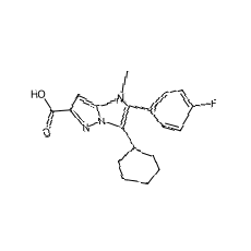 Cn1c(-c2ccc(F)cc2)c(C2CCCCC2)n2nc(C(=O)O)cc12